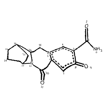 NC(=O)c1cn2c(cc1=O)C(=O)N1C3CCC(C3)C1C2